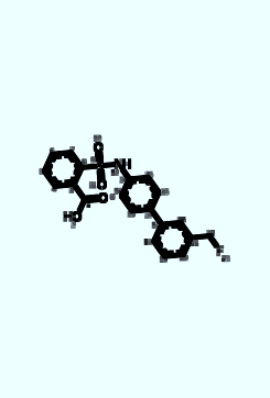 O=C(O)c1ccccc1S(=O)(=O)Nc1ccc(-c2cccc(CF)c2)cc1